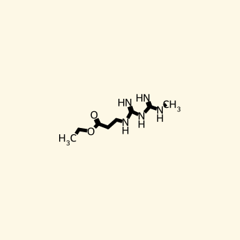 CCOC(=O)CCNC(=N)NC(=N)NC